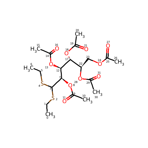 CCSC(SCC)[C@H](OC(C)=O)[C@@H](OC(C)=O)[C@H](OC(C)=O)[C@@H](COC(C)=O)OC(C)=O